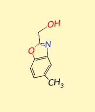 Cc1ccc2oc(CO)nc2c1